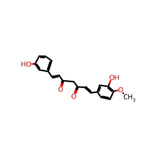 COc1ccc(C=CC(=O)CC(=O)C=Cc2cccc(O)c2)cc1O